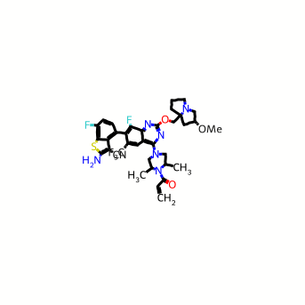 C=CC(=O)N1C(C)CN(c2nc(OCC34CCCN3CC(OC)C4)nc3c(F)c(-c4ccc(F)c5sc(N)c(C#N)c45)c(C(F)(F)F)cc23)CC1C